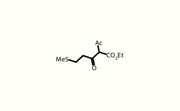 CCOC(=O)C(C(C)=O)C(=O)CCSC